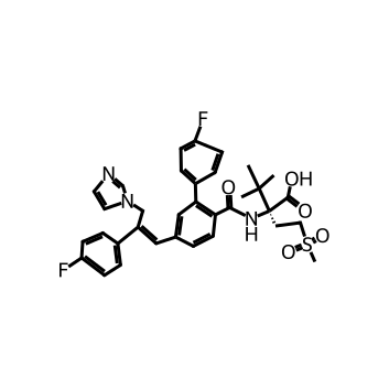 CC(C)(C)[C@](CCS(C)(=O)=O)(NC(=O)c1ccc(C=C(Cn2ccnc2)c2ccc(F)cc2)cc1-c1ccc(F)cc1)C(=O)O